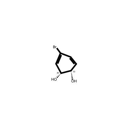 O[C@@H]1C=C(Br)C=C[C@@H]1O